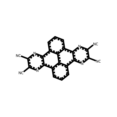 [C-]#[N+]c1nc2c3cccc4c5nc(C#N)c(C#N)nc5c5cccc(c2nc1[N+]#[C-])c5c43